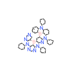 c1ccc(N2c3ccccc3B3c4cc5c(nc4N(c4ccccc4)c4cccc2c43)N(c2ccccc2)c2ncnc3c2B5c2cncnc2N3c2ccccc2)cc1